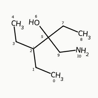 CC[C](CC)C(O)(CC)CN